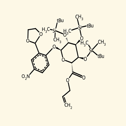 C=CCOC(=O)[C@@H]1O[C@@H](Oc2ccc([N+](=O)[O-])cc2C2OCCO2)[C@H](O[Si](C)(C)C(C)(C)C)[C@@H](O[Si](C)(C)C(C)(C)C)[C@H]1O[Si](C)(C)C(C)(C)C